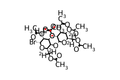 [2H]C([2H])(OC(C)=O)[C@H]1O[C@H](Br)[C@H](OC(C)=O)[C@@H](OC(C)=O)[C@H]1O[C@H]1O[C@H](C([2H])([2H])OC(C)=O)[C@H](OC(C)=O)[C@H](OC(C)=O)[C@H]1OC(C)=O